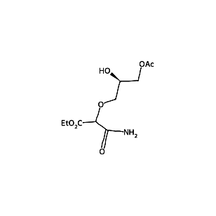 CCOC(=O)C(OC[C@@H](O)COC(C)=O)C(N)=O